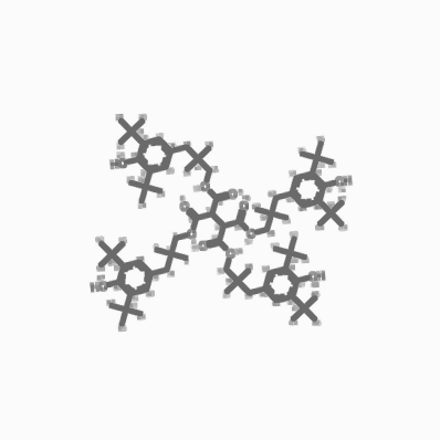 CC(C)(COC(=O)C(C(=O)OCC(C)(C)Cc1cc(C(C)(C)C)c(O)c(C(C)(C)C)c1)C(C(=O)OCC(C)(C)Cc1cc(C(C)(C)C)c(O)c(C(C)(C)C)c1)C(=O)OCC(C)(C)Cc1cc(C(C)(C)C)c(O)c(C(C)(C)C)c1)Cc1cc(C(C)(C)C)c(O)c(C(C)(C)C)c1